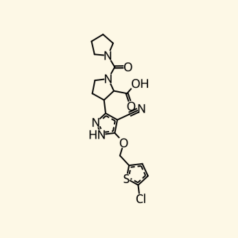 N#Cc1c(C2CCN(C(=O)N3CCCC3)C2C(=O)O)n[nH]c1OCc1ccc(Cl)s1